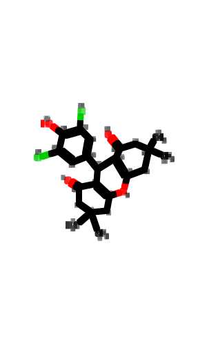 CC1(C)CC(=O)C2=C(C1)OC1=C(C(=O)CC(C)(C)C1)C2c1cc(Cl)c(O)c(Cl)c1